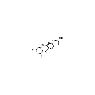 O=C(O)Nc1ccc(Oc2ccc(F)cc2F)c(Br)n1